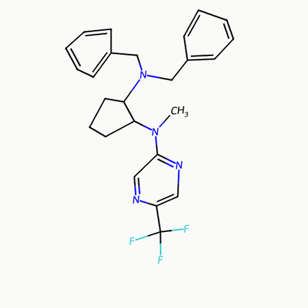 CN(c1cnc(C(F)(F)F)cn1)C1CCCC1N(Cc1ccccc1)Cc1ccccc1